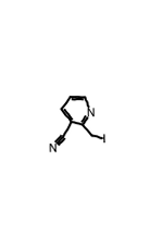 N#Cc1cccnc1CI